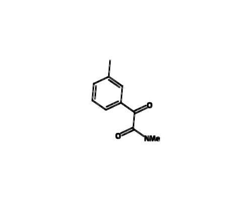 CNC(=O)C(=O)c1cccc(C)c1